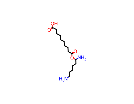 NCCCCCC(N)OC(=O)CCCCCCCCC(=O)O